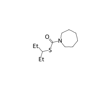 CCC(CC)SC(=O)N1CCCCCC1